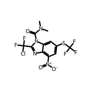 CN(C)C(=O)n1c(C(F)(F)Cl)nc2c([N+](=O)[O-])cc(SC(F)(F)F)cc21